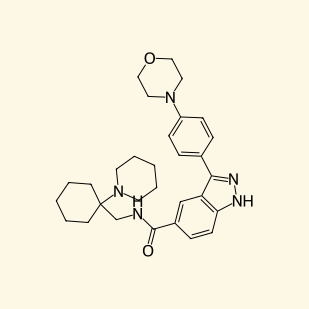 O=C(NCC1(N2CCCCC2)CCCCC1)c1ccc2[nH]nc(-c3ccc(N4CCOCC4)cc3)c2c1